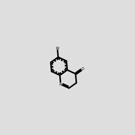 O=C1CC=Nc2ccc(Br)cc21